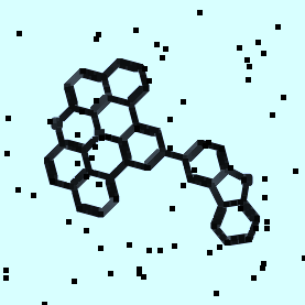 c1ccc2c(c1)oc1ccc(-c3cc4c5cccc6ccc7oc8ccc9cccc%10c(c3)c4n(c7c65)c8c9%10)cc12